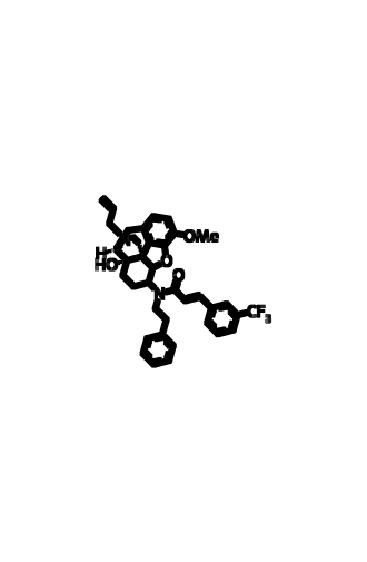 C=CCN1CC[C@]23c4c5ccc(OC)c4OC2C(N(CCc2ccccc2)C(=O)/C=C/c2cccc(C(F)(F)F)c2)CC[C@@]3(O)[C@H]1C5